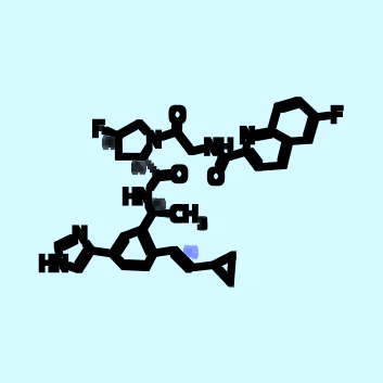 C[C@H](NC(=O)[C@@H]1C[C@@H](F)CN1C(=O)CNC(=O)c1ccc2cc(F)ccc2n1)c1cc(-c2c[nH]cn2)ccc1/C=C/C1CC1